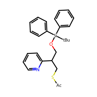 CC(=O)SCC(CO[Si](c1ccccc1)(c1ccccc1)C(C)(C)C)c1ccccn1